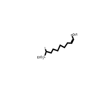 CCCCCCCC/C=C\CCCCCCC(I)C(=O)OCC